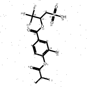 CC(I)C(=O)Oc1ccc(C(=O)OC(CS(=O)(=O)O)C(F)(F)F)cc1Br